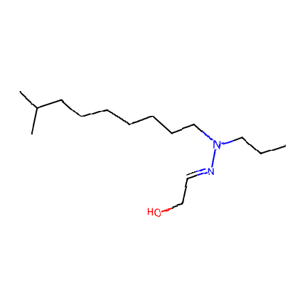 CCCN(CCCCCCCC(C)C)N=CCO